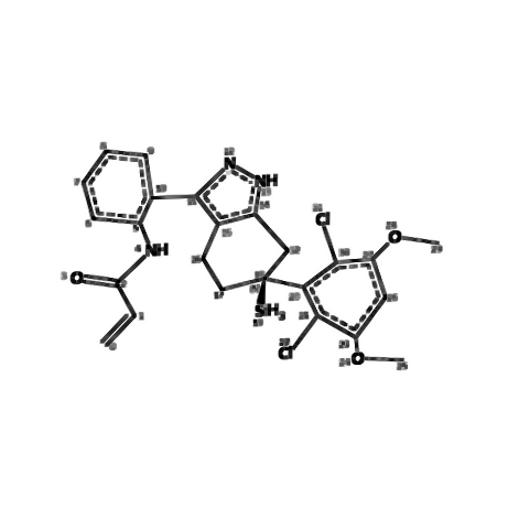 C=CC(=O)Nc1ccccc1-c1n[nH]c2c1CC[C@@]([SiH3])(c1c(Cl)c(OC)cc(OC)c1Cl)C2